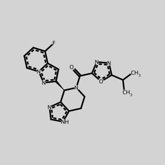 CC(C)c1nnc(C(=O)N2CCc3[nH]cnc3[C@H]2c2cc3c(F)cccn3n2)o1